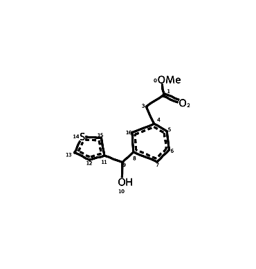 COC(=O)Cc1cccc(C(O)c2ccsc2)c1